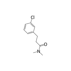 CN(C)C(=O)CCc1cccc(Cl)c1